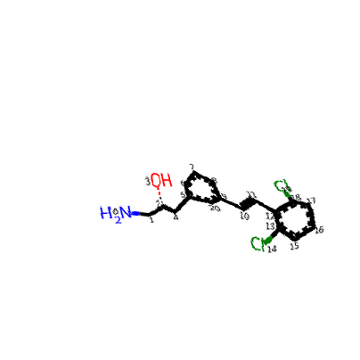 NC[C@H](O)Cc1cccc(/C=C/c2c(Cl)cccc2Cl)c1